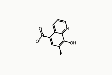 O=[N+]([O-])c1cc(F)c(O)c2ncccc12